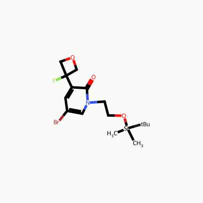 CC(C)(C)[Si](C)(C)OCCn1cc(Br)cc(C2(F)COC2)c1=O